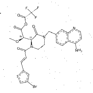 CO[C@@H](C(=O)OC(=O)C(F)(F)F)[C@H]1C(=O)N(Cc2ccc3c(N)ccnc3c2)CCN1C(=O)C=Cc1cc(Br)cs1